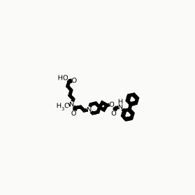 CN(CCCCC(=O)O)C(=O)CCN1CCC2(CC1)CC(OC(=O)Nc1ccccc1-c1ccccc1)C2